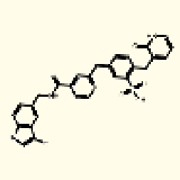 CS(=O)(=O)c1cc(Cc2cc(C(=O)NCc3ccc4[nH]cc(Cl)c4c3)ccn2)ccc1Cc1ccc[nH]c1=O